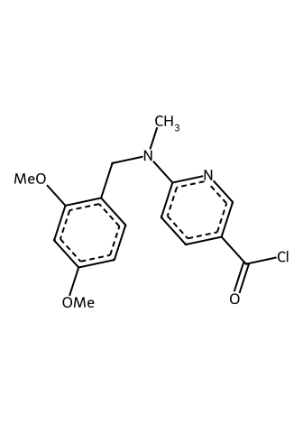 COc1ccc(CN(C)c2ccc(C(=O)Cl)cn2)c(OC)c1